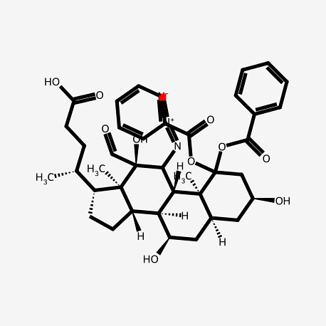 C[C@H](CCC(=O)O)[C@H]1CC[C@H]2[C@@H]3[C@H](O)C[C@@H]4C[C@H](O)CC(OC(=O)c5ccccc5)(OC(=O)c5ccccc5)[C@]4(C)[C@H]3C(N=[N+]=[N-])[C@@](O)(C=O)[C@]12C